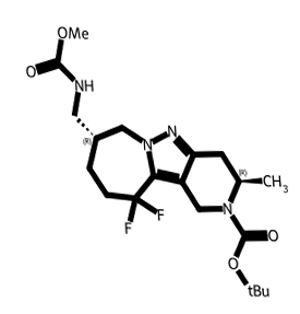 COC(=O)NC[C@H]1CCC(F)(F)c2c3c(nn2C1)C[C@@H](C)N(C(=O)OC(C)(C)C)C3